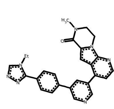 CCn1cnnc1-c1ccc(-c2cncc(-c3ccnc4c3cc3n4CCN(C)C3=O)c2)cc1